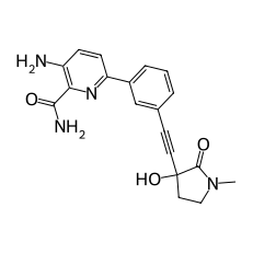 CN1CCC(O)(C#Cc2cccc(-c3ccc(N)c(C(N)=O)n3)c2)C1=O